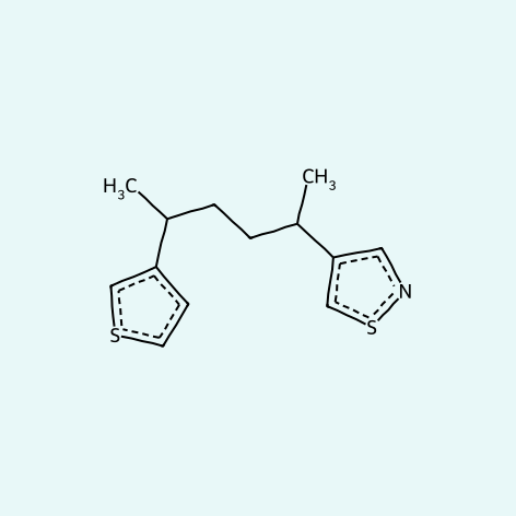 CC(CCC(C)c1cnsc1)c1ccsc1